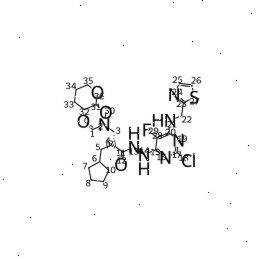 O=CN(C[C@@H](CC1CCCC1)C(=O)NNc1nc(Cl)nc(NCc2nccs2)c1F)OC1CCCCO1